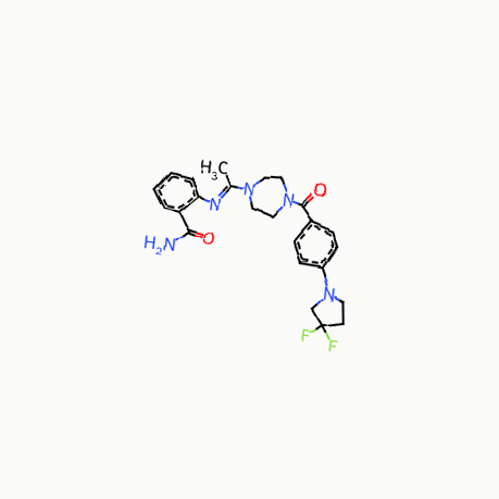 C/C(=N\c1ccccc1C(N)=O)N1CCN(C(=O)c2ccc(N3CCC(F)(F)C3)cc2)CC1